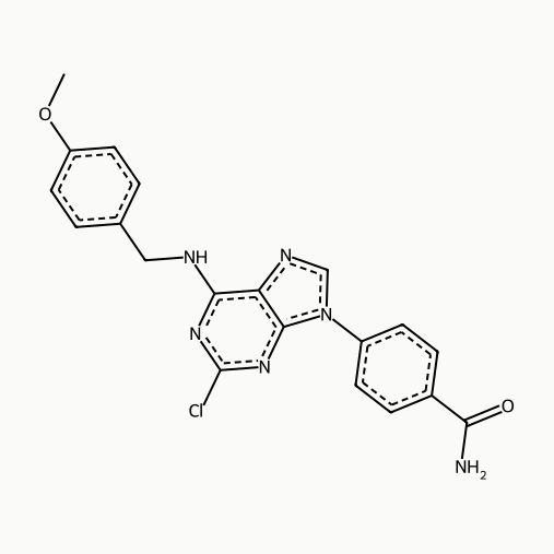 COc1ccc(CNc2nc(Cl)nc3c2ncn3-c2ccc(C(N)=O)cc2)cc1